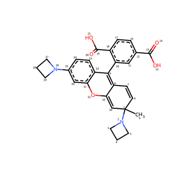 CC1(N2CCC2)C=CC2=C(c3cc(C(=O)O)ccc3C(=O)O)c3ccc(N4CCC4)cc3OC2=C1